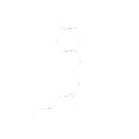 COCCN(C)CCCN1CCN(C)CC1